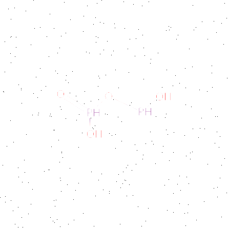 O=[PH](O)OPO